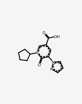 O=C(O)c1cc(-n2cccn2)c(=O)n(C2CCCC2)c1